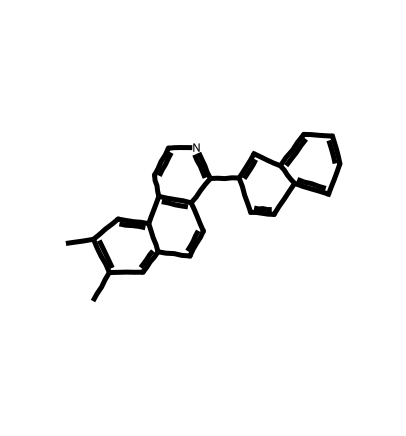 Cc1cc2ccc3c(-c4ccc5ccccc5c4)nccc3c2cc1C